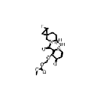 COC(=O)OCOc1c2n(ccc1=O)N[C@@H]1CCC3(CN1C2=O)CC3(F)F